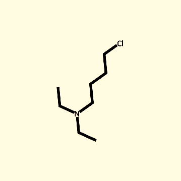 CCN(CC)CCCCCl